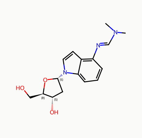 CN(C)C=Nc1cccc2c1ccn2[C@@H]1C[C@H](O)[C@@H](CO)O1